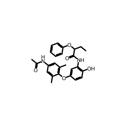 CCC(Oc1ccccc1)C(=O)Nc1cc(Oc2c(C)cc(NC(C)=O)cc2C)ccc1O